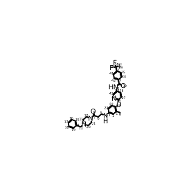 Cc1cc(NCCC(=O)N2CCN(Cc3ccccc3)CC2)ccc1Oc1ccc(NC(=O)c2ccc(C(F)(F)F)cc2)cn1